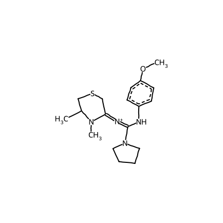 COc1ccc(NC(=[N+]=C2CSCC(C)N2C)N2CCCC2)cc1